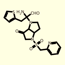 NC(C=O)(Cc1cccs1)N1CCC2C1C(=O)CN2S(=O)(=O)Cc1ccccn1